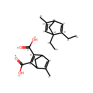 CC1=CC2CC1C(C(=O)O)=C2C(=O)O.CCC1=CC2CC1(CC)C=C2C